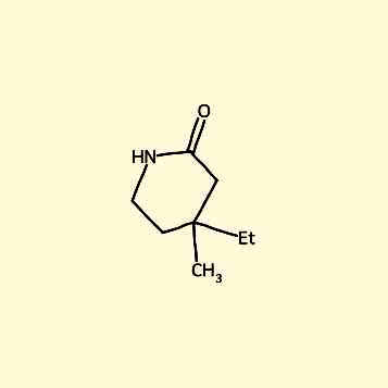 CCC1(C)CCNC(=O)C1